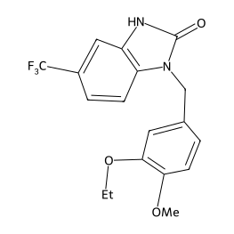 CCOc1cc(Cn2c(=O)[nH]c3cc(C(F)(F)F)ccc32)ccc1OC